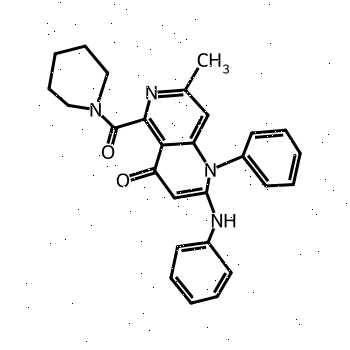 Cc1cc2c(c(C(=O)N3CCCCC3)n1)c(=O)cc(Nc1ccccc1)n2-c1ccccc1